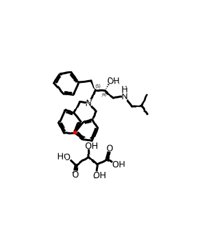 CC(C)CNC[C@@H](O)[C@H](Cc1ccccc1)N(Cc1ccccc1)Cc1ccccc1.O=C(O)C(O)C(O)C(=O)O